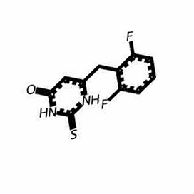 O=c1cc(Cc2c(F)cccc2F)[nH]c(=S)[nH]1